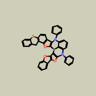 c1ccc(N2c3cccc4c3B(c3oc5c6c(ccc5c3N4c3ccccc3)Sc3ccccc3C6)c3c2oc2c3oc3ccccc32)cc1